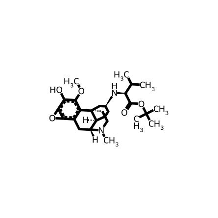 COc1c(O)c2c(c3c1[C@]14CCN(C)[C@H](C3)[C@@H]1CC[C@H](N[C@H](C(=O)OC(C)(C)C)C(C)C)C4)O2